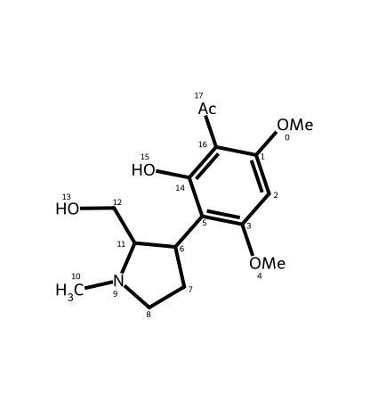 COc1cc(OC)c(C2CCN(C)C2CO)c(O)c1C(C)=O